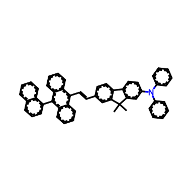 CC1(C)c2cc(/C=C/c3c4ccccc4c(-c4cccc5ccccc45)c4ccccc34)ccc2-c2ccc(N(c3ccccc3)c3ccccc3)cc21